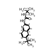 CC(C)(C)NC(=O)Nc1ccc2cc(C(C)(C)C)ccc2n1